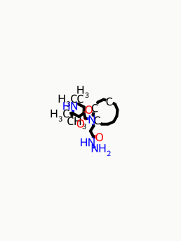 CC1(C)CC2(CC(C)(C)N1)OC1(CCCCCCCCCCC1)N(CCC(=O)NN)C2=O